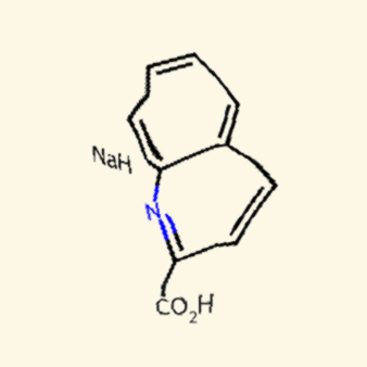 O=C(O)c1ccc2ccccc2n1.[NaH]